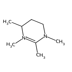 CC1=[N+](C)C(C)CCN1C